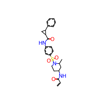 C=CC(=O)NC1CCN(S(=O)(=O)c2ccc(NC(=O)C3CC3c3ccccc3)cc2)C(C)C1